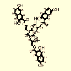 O=C(OCCn1c(=O)n(CC(O)COC(=O)c2cc3cc(O)ccc3cc2O)c(=O)n(CC(O)COC(=O)c2cc3cc(O)ccc3cc2O)c1=O)c1cc2cc(O)ccc2cc1O